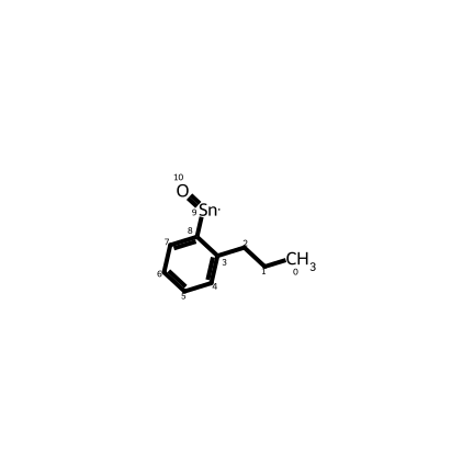 CCCc1cccc[c]1[Sn]=[O]